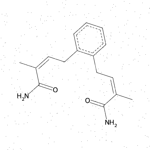 CC(=CCc1ccccc1CC=C(C)C(N)=O)C(N)=O